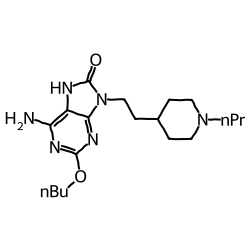 CCCCOc1nc(N)c2[nH]c(=O)n(CCC3CCN(CCC)CC3)c2n1